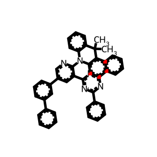 CC1(C)c2ccccc2N(c2ncc(-c3cccc(-c4ccccc4)c3)cc2-c2nc(-c3ccccc3)nc(-c3ccccc3)n2)c2ccccc21